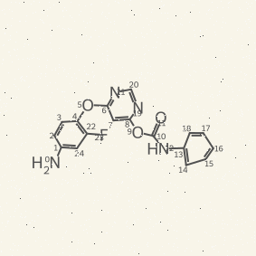 Nc1ccc(Oc2cc(OC(=O)Nc3ccccc3)ncn2)c(F)c1